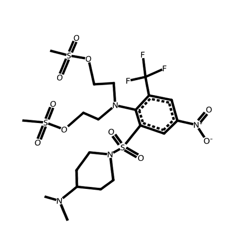 CN(C)C1CCN(S(=O)(=O)c2cc([N+](=O)[O-])cc(C(F)(F)F)c2N(CCOS(C)(=O)=O)CCOS(C)(=O)=O)CC1